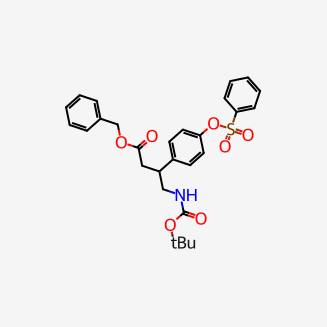 CC(C)(C)OC(=O)NCC(CC(=O)OCc1ccccc1)c1ccc(OS(=O)(=O)c2ccccc2)cc1